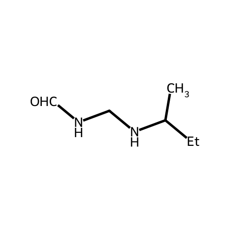 CCC(C)NCNC=O